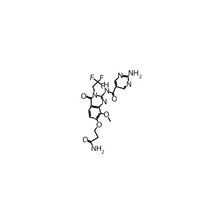 COc1c(OCCC(N)=O)ccc2c(=O)n(CC(F)(F)F)c(NC(=O)c3cnc(N)nc3)nc12